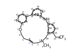 CN1C/C=C/CCOc2cc(ccn2)-c2ccnc(n2)Nc2ccc(CC(F)(F)F)c(c2)C1